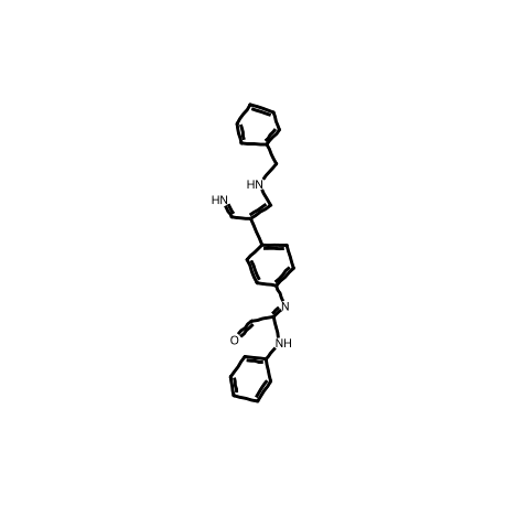 N=C/C(=C\NCc1ccccc1)c1ccc(/N=C(\C=O)Nc2ccccc2)cc1